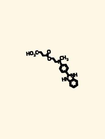 CN(CCOC(=O)CCC(=O)O)c1ccc(C2Nc3ccccc3N2)cc1